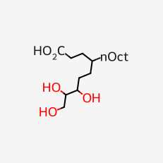 CCCCCCCCC(CCC(=O)O)CCC(O)C(O)CO